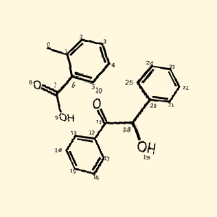 Cc1ccccc1C(=O)O.O=C(c1ccccc1)C(O)c1ccccc1